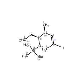 C/C(I)=C\[C@H](C)[C@H](CC=O)O[Si](C)(C)C(C)(C)C